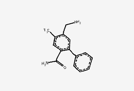 NCc1cc(-c2ccccc2)c(C(N)=O)cc1C(F)(F)F